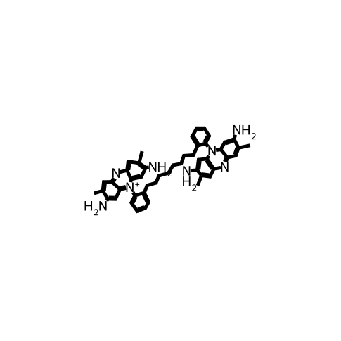 CC1=CC2=Nc3cc(C)c(N)cc3N(c3ccccc3CCCCCCCCc3ccccc3-[n+]3c4cc(N)c(C)cc4nc4cc(C)c(N)cc43)C2C=C1N